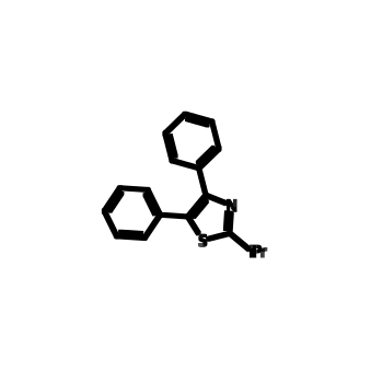 CC(C)c1nc(-c2ccccc2)c(-c2ccccc2)s1